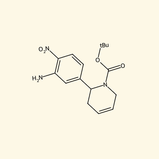 CC(C)(C)OC(=O)N1CC=CCC1c1ccc([N+](=O)[O-])c(N)c1